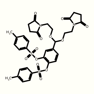 Cc1ccc(S(=O)(=O)Oc2ccc(C(OCCN3C(=O)CCC3=O)OCCN3C(=O)CCC3=O)cc2OS(=O)(=O)c2ccc(C)cc2)cc1